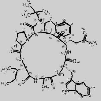 CCC(C)[C@@H]1NC(=O)[C@H]2CCCN2[C@@H](C(=O)NC(C)(C)C)[C@@H](CSc2ccccc2)NC(=O)[C@H](CCC(N)=O)NC(=O)[C@H](Cc2c[nH]c3ccccc23)NC(=O)[C@@H](C)NC1=O